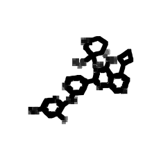 CC1(C)CNCC[C@@H]1Nc1nc(-c2ccnc(Nc3ncc(C#N)cc3F)c2)nc2cncc(C3CCC3)c12